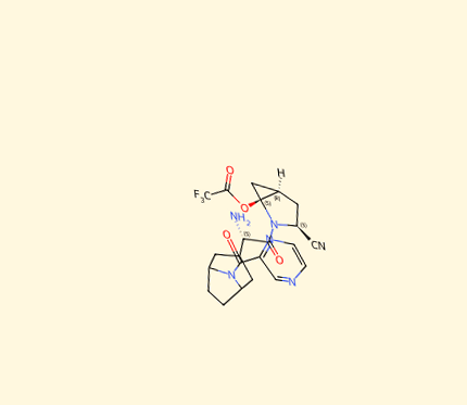 N#C[C@@H]1C[C@@H]2C[C@@]2(OC(=O)C(F)(F)F)N1C(=O)[C@@H](N)C1CC2CCC(C1)N2C(=O)c1cnccn1